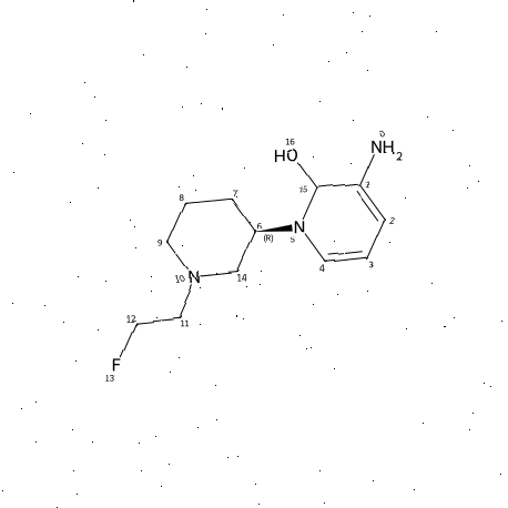 NC1=CC=CN([C@@H]2CCCN(CCF)C2)C1O